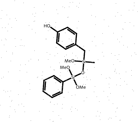 CO[Si](C)(Cc1ccc(O)cc1)O[Si](OC)(OC)c1ccccc1